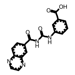 O=C(NC(=O)c1ccc2nccnc2c1)Nc1cccc(C(=O)O)c1